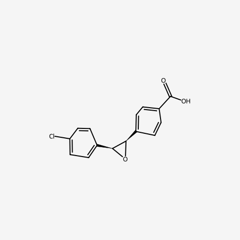 O=C(O)c1ccc([C@H]2O[C@H]2c2ccc(Cl)cc2)cc1